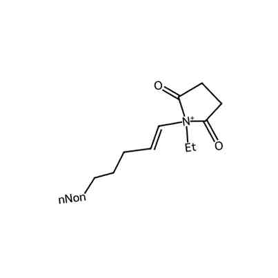 [CH2]C[N+]1(C=CCCCCCCCCCCCC)C(=O)CCC1=O